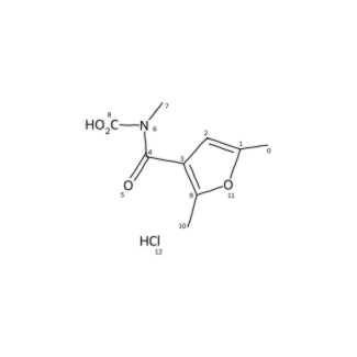 Cc1cc(C(=O)N(C)C(=O)O)c(C)o1.Cl